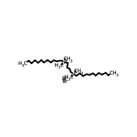 CCCCCCCCCCCC[N+](C)(C)CCCC[N+](C)(C)CCCCCCCCCCCC.[Br-].[Br-]